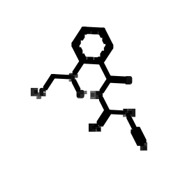 CC[S+]([O-])c1ccccc1C(=O)NC(=N)NC#N